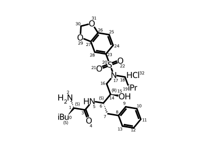 CC[C@H](C)[C@H](N)C(=O)N[C@@H](Cc1ccccc1)[C@H](O)CN(CC(C)C)S(=O)(=O)c1ccc2c(c1)OCO2.Cl